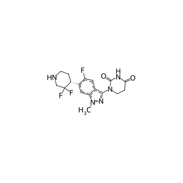 Cn1nc(N2CCC(=O)NC2=O)c2cc(F)c([C@H]3CCNCC3(F)F)cc21